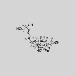 C[C@H](CCCC(C)(O)CO)[C@H]1CC[C@H]2[C@@H]3[C@@H](O)[C@H](O)[C@@H]4C[C@H](O)CC[C@]4(C)[C@H]3CC[C@]12C